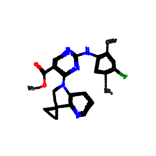 COc1cc(F)c([N+](=O)[O-])cc1Nc1ncc(C(=O)OC(C)C)c(N2CC3(CC3)c3ncccc32)n1